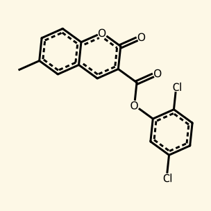 Cc1ccc2oc(=O)c(C(=O)Oc3cc(Cl)ccc3Cl)cc2c1